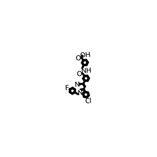 N#CC(=Cc1cn(Cc2ccc(F)cc2)c2cc(Cl)ccc12)c1cccc(C(=O)NCc2cccc(C(=O)O)c2)c1